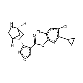 O=C(Oc1cc(C2CC2)c(Cl)cc1Cl)c1conc1[C@H]1C[C@H]2C[C@H]1CN2